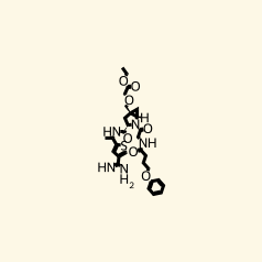 CCOC(=O)COC[C@@]12C[C@@H]1N(C(=O)CNC(=O)CCCOc1ccccc1)[C@H](C(=O)NC(C)c1cc(C(=N)N)cs1)C2